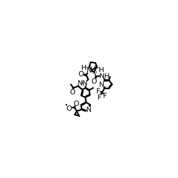 COC(=O)C1(c2cncc(-c3cc(C)c4c(c3)c(C(C)=O)nn4CC(=O)N3[C@H]4CC[C@H](C4)[C@H]3C(=O)Nc3nc(C(F)(F)F)ccc3C)c2)CC1